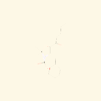 CCCCC(=O)C1OC(C)(C)N(C(=O)O)[C@H]1CC1CCCCC1